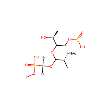 CCC(CC)(OC(OC(CO[PH](=O)O)[C@H](C)O)[C@@H](C)NC(C)=O)P(=O)(O)OI